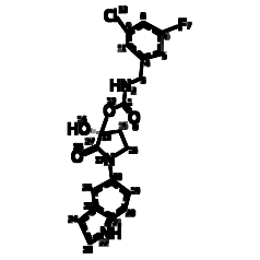 O=C(NCc1cc(F)cc(Cl)c1)O[C@@]1(O)CCN(c2ccc3[nH]ccc3c2)C1=O